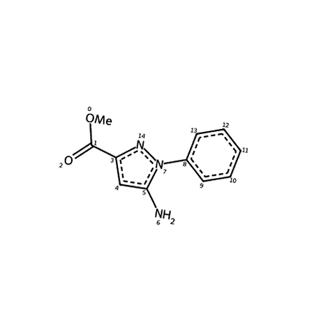 COC(=O)c1cc(N)n(-c2ccccc2)n1